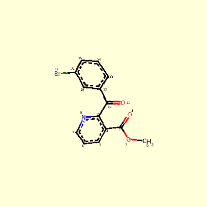 COC(=O)c1cccnc1C(=O)c1cccc(Br)c1